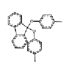 Cc1ccc(OC2(Oc3ccc(C)cc3)c3ccccc3-c3ccccc32)cc1